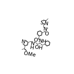 COC=C(C)c1cncc(CNC[C@@H](O)[C@H](Cc2ccccc2)NC(=O)c2cccc(C(=O)N(C)Cc3nc(C)cs3)c2)c1